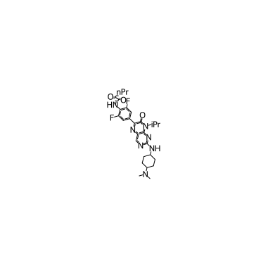 CCCS(=O)(=O)Nc1c(F)cc(-c2nc3cnc(NC4CCC(N(C)C)CC4)nc3n(C(C)C)c2=O)cc1F